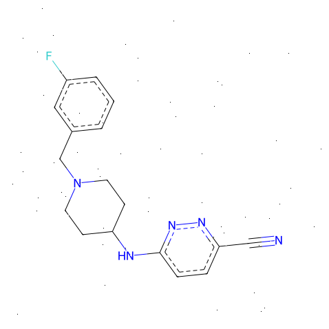 N#Cc1ccc(NC2CCN(Cc3cccc(F)c3)CC2)nn1